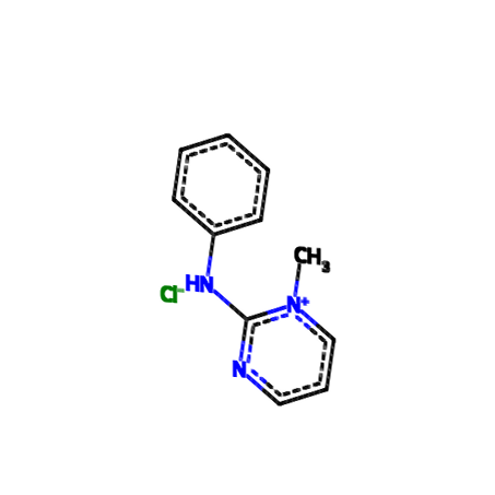 C[n+]1cccnc1Nc1ccccc1.[Cl-]